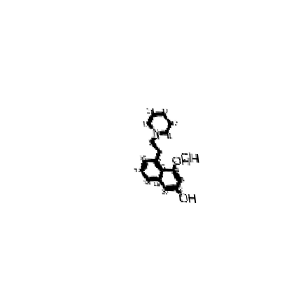 Cl.Oc1cc(O)c2c(CCN3CCCCC3)cccc2c1